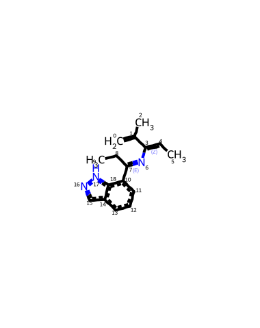 C=C(C)C(=C/C)/N=C(\CC)c1cccc2cn[nH]c12